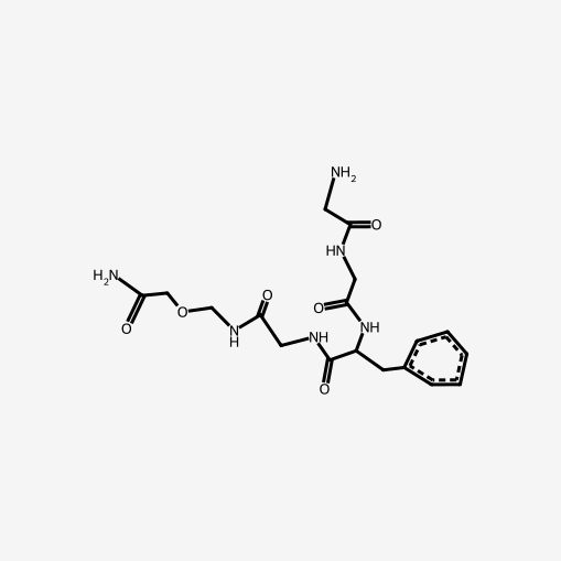 NCC(=O)NCC(=O)NC(Cc1ccccc1)C(=O)NCC(=O)NCOCC(N)=O